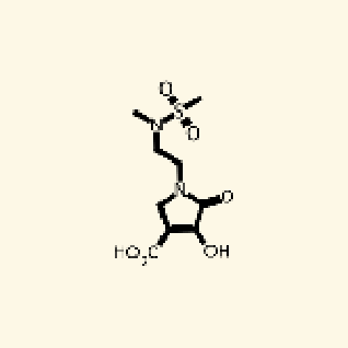 CN(CCN1CC(C(=O)O)=C(O)C1=O)S(C)(=O)=O